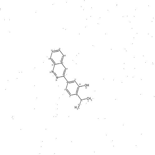 CC(C)c1ccc(-c2cc3ccccc3nn2)cc1O